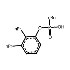 CCCCP(=O)(O)Oc1cccc(CCC)c1CCC